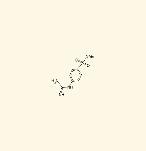 CNS(=O)(=O)c1ccc(NC(=N)N)cc1